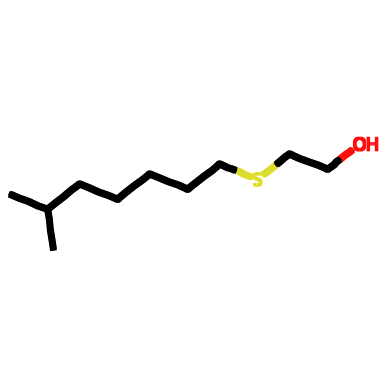 CC(C)CCCCCSCCO